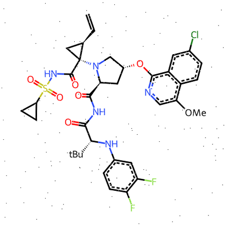 C=C[C@@H]1C[C@@]1(C(=O)NS(=O)(=O)C1CC1)N1C[C@H](Oc2ncc(OC)c3ccc(Cl)cc23)C[C@H]1C(=O)NC(=O)[C@H](Nc1ccc(F)c(F)c1)C(C)(C)C